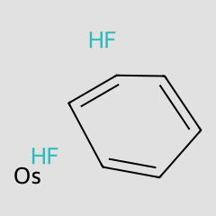 F.F.[Os].c1ccccc1